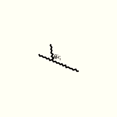 CCCCCCCCCCCCCCCCC(CCCCCCCC)=C(CCCCCCCC)[NH2+][O-]